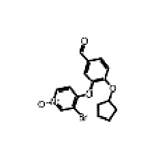 O=Cc1ccc(OC2CCCC2)c(Oc2cc[n+]([O-])cc2Br)c1